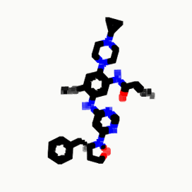 C=CC(=O)Nc1cc(Nc2cc(N3OCC[C@@H]3Cc3ccccc3)ncn2)c(OC)cc1N1CCN(C2CC2)CC1